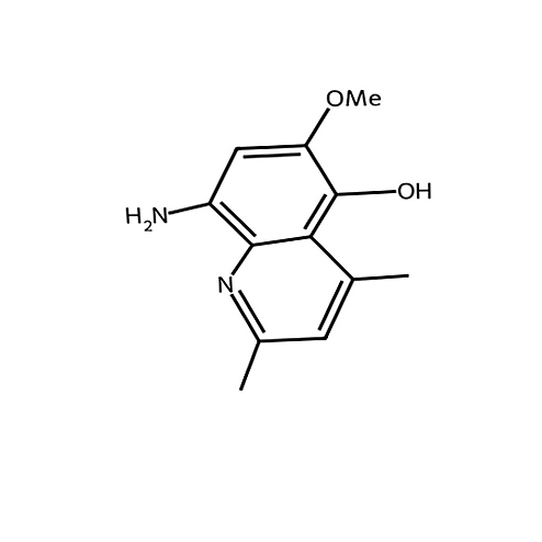 COc1cc(N)c2nc(C)cc(C)c2c1O